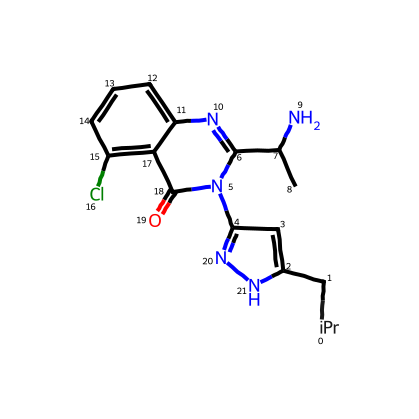 CC(C)Cc1cc(-n2c(C(C)N)nc3cccc(Cl)c3c2=O)n[nH]1